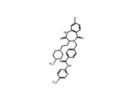 Cc1ccc(NC(=O)c2ccc(CN3C(=O)c4ccc(Cl)cc4NC(=O)C3CCN3CCN(C)CC3)cc2)nc1